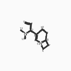 C=CC(C1=CN2CCC2CC1)N(C)C